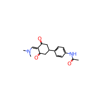 CC(=O)Nc1ccc(C2CC(=O)C(=CN(C)C)C(=O)C2)cc1